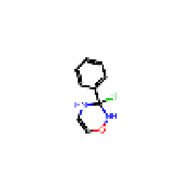 ClC1(c2ccccc2)NC=CON1